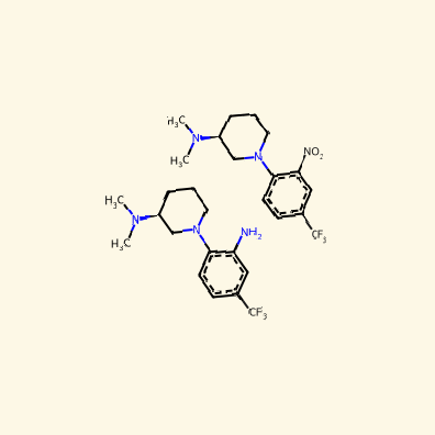 CN(C)[C@H]1CCCN(c2ccc(C(F)(F)F)cc2N)C1.CN(C)[C@H]1CCCN(c2ccc(C(F)(F)F)cc2[N+](=O)[O-])C1